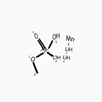 COP(=O)(O)O.[LiH].[LiH].[Mn]